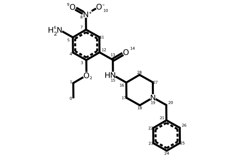 CCOc1cc(N)c([N+](=O)[O-])cc1C(=O)NC1CCN(Cc2ccccc2)CC1